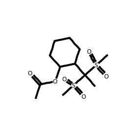 CC(=O)OC1CCCCC1C(C)(S(C)(=O)=O)S(C)(=O)=O